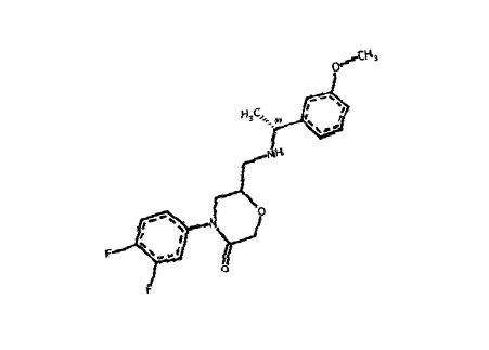 COc1cccc([C@@H](C)NCC2CN(c3ccc(F)c(F)c3)C(=O)CO2)c1